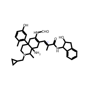 C/C(=C\C1=C(NC=O)CC2(c3cc(O)ccc3C)CCN(CC3CC3)C(C)C2(N)C1)C(=O)NC1c2ccccc2CC1O